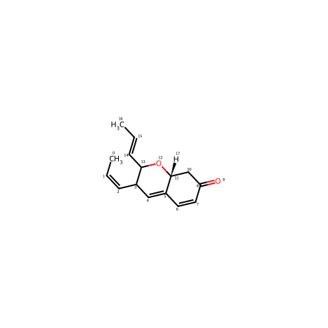 C/C=C\C1C=C2C=CC(=O)C[C@H]2OC1/C=C/C